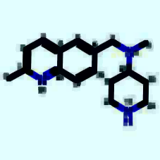 Cc1ccc2cc(CN(C)C3CCNCC3)ccc2n1